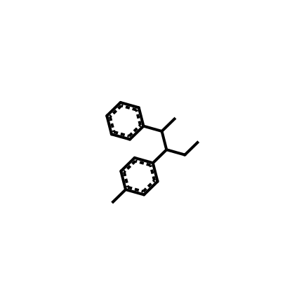 CCC(c1ccc(C)cc1)C(C)c1ccccc1